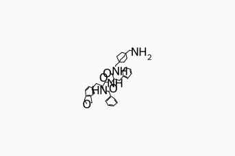 NCC12CCC(CNC(=O)C(Cc3ccccc3)NC(=O)C(Cc3ccc4c(c3)COC4)NC(=O)c3ccccc3)(CC1)CC2